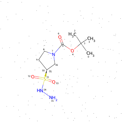 CC(C)(C)OC(=O)N1CC[C@H](S(=O)(=O)NN)C1